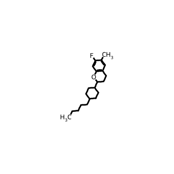 CCCCCC1CCC(C2CCc3cc(C)c(F)cc3O2)CC1